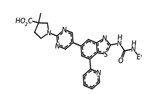 CCNC(=O)Nc1nc2cc(-c3cnc(N4CCC(C)(C(=O)O)C4)nc3)cc(-c3ccccn3)c2s1